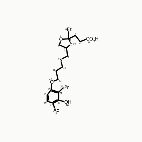 CCC1(CCC(=O)O)OCC(CSCCCOc2ccc(C(C)=O)c(O)c2C(C)C)S1